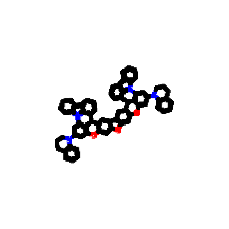 c1ccc2c(c1)CCCN2c1cc2c3c(c1)-n1c4ccccc4c4cccc(c41)B3c1cc3c(cc1O2)oc1cc2c(cc13)B1c3c(cc(N4CCCc5ccccc54)cc3-n3c4ccccc4c4cccc1c43)O2